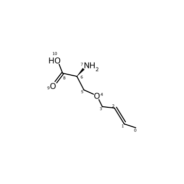 CC=CCOC[C@H](N)C(=O)O